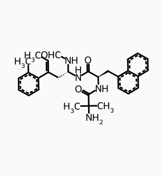 C/C=C(/C[C@H](NC=O)NC(=O)[C@@H](Cc1cccc2ccccc12)NC(=O)C(C)(C)N)c1ccccc1C